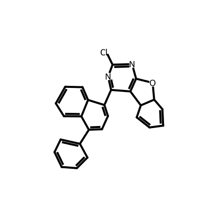 Clc1nc2c(c(-c3ccc(-c4ccccc4)c4ccccc34)n1)C1C=CC=CC1O2